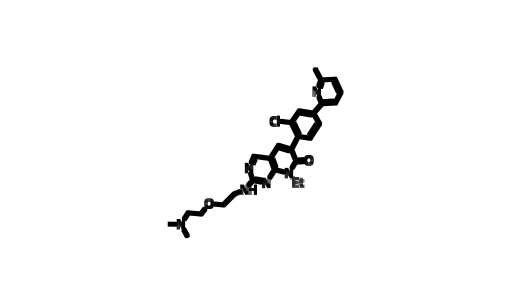 CCn1c(=O)c(-c2ccc(-c3cccc(C)n3)cc2Cl)cc2cnc(NCCOCCN(C)C)nc21